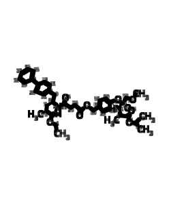 CCOC(=O)[C@H](C)C[C@@H](Cc1ccc(-c2ccccc2)cc1)NC(=O)CCC(=O)OCc1ccc(OP(=O)(COC)N[C@@H](C)C(=O)OC(C)C)cc1